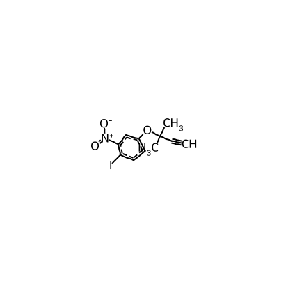 C#CC(C)(C)Oc1ccc(I)c([N+](=O)[O-])c1